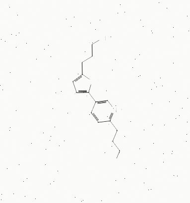 CCCCc1ccc(-c2ccc(CCCC)s2)cn1